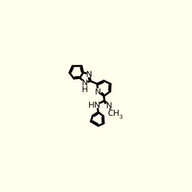 C/N=C(\Nc1ccccc1)c1cccc(-c2nc3ccccc3[nH]2)n1